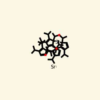 CC(C)C1=C(C(C)C)[C]([Sr][C]2(C(C)C)C(C(C)C)=C(C(C)C)C(C3(C(C)C)C=CC(C(C)C)=C3C(C)C)=C2C2(C(C)C)C=CC(C(C)C)=C2C(C)C)(C(C)C)C=C1.[Sr]